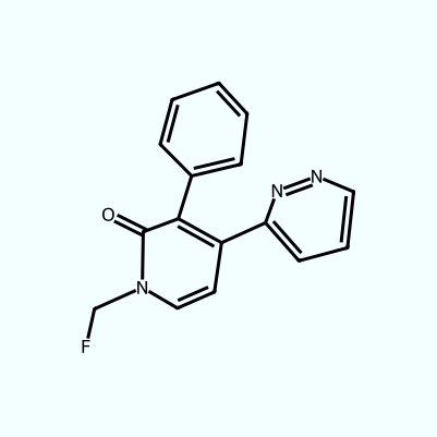 O=c1c(-c2ccccc2)c(-c2cccnn2)ccn1CF